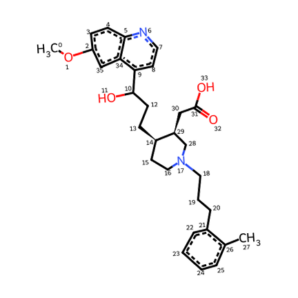 COc1ccc2nccc(C(O)CC[C@@H]3CCN(CCCc4ccccc4C)C[C@@H]3CC(=O)O)c2c1